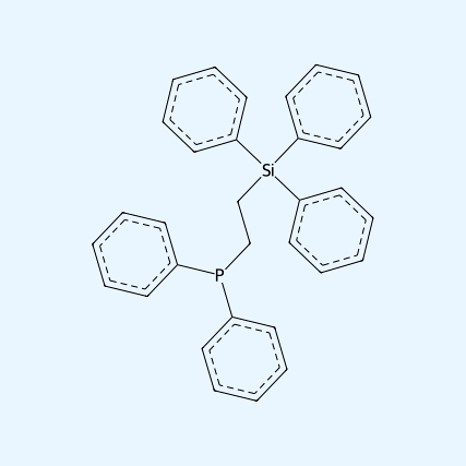 c1ccc(P(CC[Si](c2ccccc2)(c2ccccc2)c2ccccc2)c2ccccc2)cc1